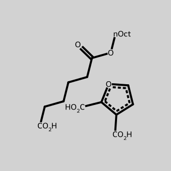 CCCCCCCCOC(=O)CCCCC(=O)O.O=C(O)c1ccoc1C(=O)O